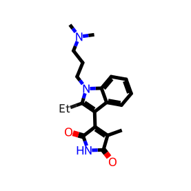 CCc1c(C2=C(C)C(=O)NC2=O)c2ccccc2n1CCCN(C)C